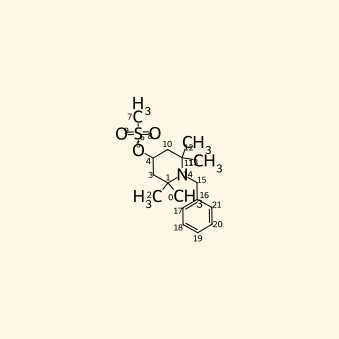 CC1(C)CC(OS(C)(=O)=O)CC(C)(C)N1Cc1ccccc1